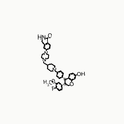 COc1cc([C@H]2COc3cc(O)ccc3[C@H]2c2ccc(N3CCC(CN4CCN(c5ccc6c(c5)CNC6=O)CC4)CC3)cc2)ccc1F